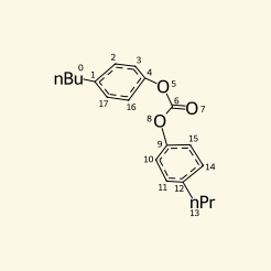 CCCCc1ccc(OC(=O)Oc2ccc(CCC)cc2)cc1